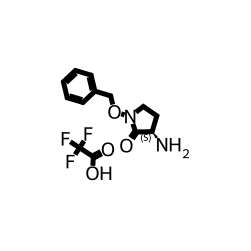 N[C@H]1CCN(OCc2ccccc2)C1=O.O=C(O)C(F)(F)F